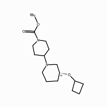 CC(C)(C)OC(=O)N1CCC(N2CCC[C@@H](OC3CCC3)C2)CC1